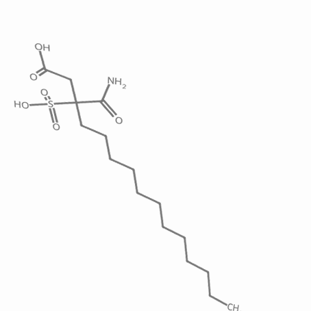 CCCCCCCCCCCCC(CC(=O)O)(C(N)=O)S(=O)(=O)O